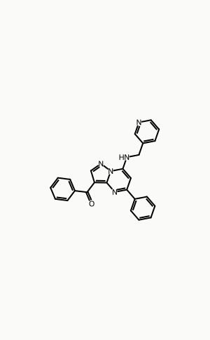 O=C(c1ccccc1)c1cnn2c(NCc3cccnc3)cc(-c3ccccc3)nc12